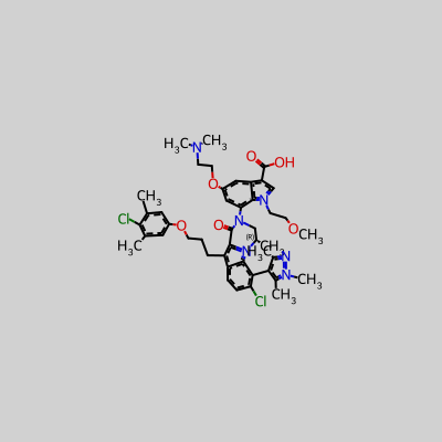 COCCn1cc(C(=O)O)c2cc(OCCN(C)C)cc(N3C[C@@H](C)n4c(c(CCCOc5cc(C)c(Cl)c(C)c5)c5ccc(Cl)c(-c6c(C)nn(C)c6C)c54)C3=O)c21